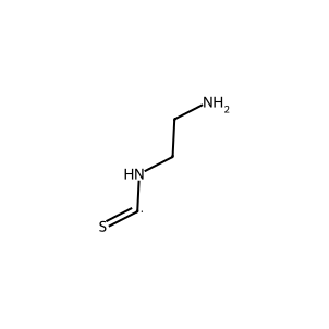 NCCN[C]=S